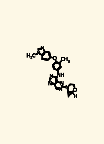 Cc1cc(Nc2ncnc3cnc(N4CCO[C@@H]5CC54)nc23)ccc1Oc1ccc2c(c1)ncn2C